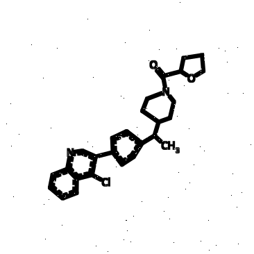 CC(c1ccc(-c2cnc3ccccc3c2Cl)cc1)C1CCN(C(=O)C2CCCO2)CC1